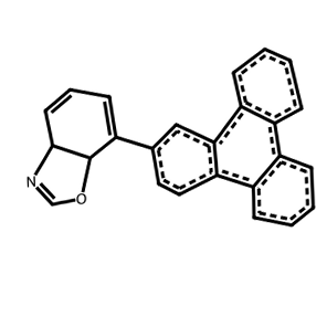 C1=CC2N=COC2C(c2ccc3c4ccccc4c4ccccc4c3c2)=C1